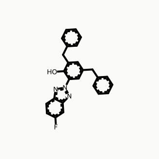 Oc1c(Cc2ccccc2)cc(Cc2ccccc2)cc1-n1nc2ccc(F)cc2n1